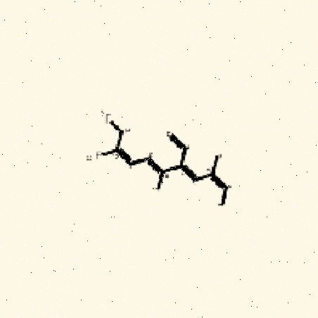 C=CC(=C\C(C)=C/C)/C(C)=C/C=C(/F)CF